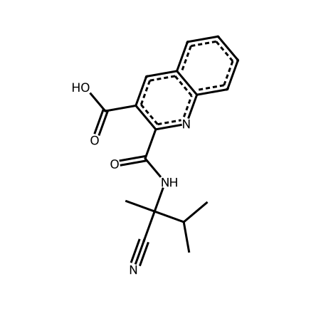 CC(C)C(C)(C#N)NC(=O)c1nc2ccccc2cc1C(=O)O